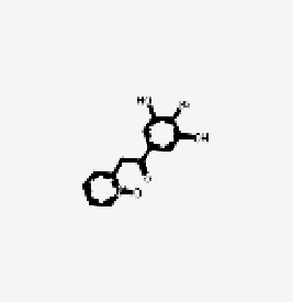 O=C(Cc1cccc[n+]1[O-])c1cc(O)c(Br)c(O)c1